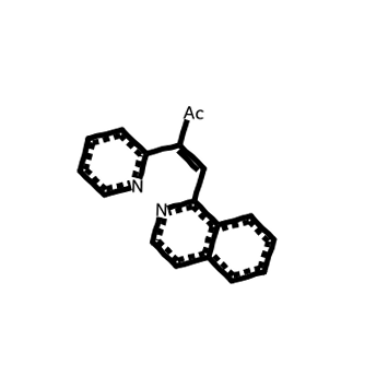 CC(=O)/C(=C/c1nccc2ccccc12)c1ccccn1